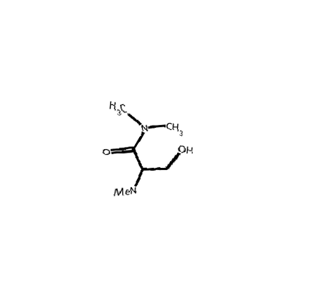 CNC(CO)C(=O)N(C)C